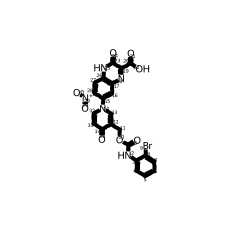 O=C(Nc1ccccc1Br)OCc1cn(-c2cc3nc(C(=O)O)c(=O)[nH]c3cc2[N+](=O)[O-])ccc1=O